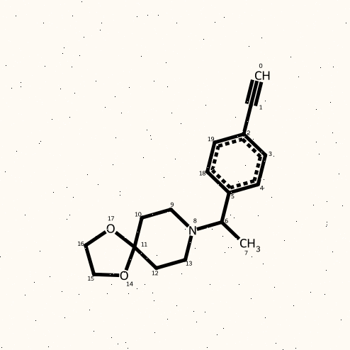 C#Cc1ccc(C(C)N2CCC3(CC2)OCCO3)cc1